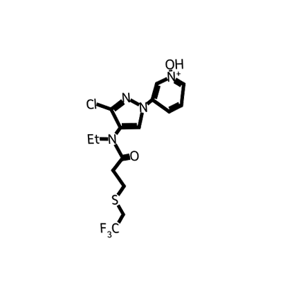 CCN(C(=O)CCSCC(F)(F)F)c1cn(-c2ccc[n+](O)c2)nc1Cl